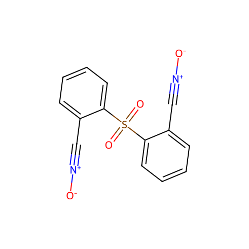 O=S(=O)(c1ccccc1C#[N+][O-])c1ccccc1C#[N+][O-]